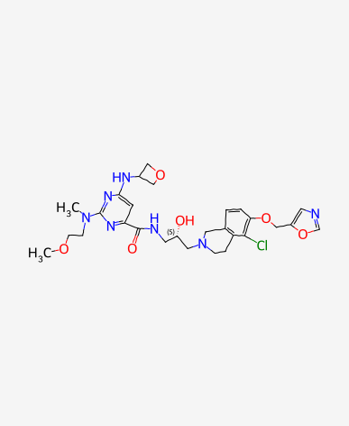 COCCN(C)c1nc(NC2COC2)cc(C(=O)NC[C@H](O)CN2CCc3c(ccc(OCc4cnco4)c3Cl)C2)n1